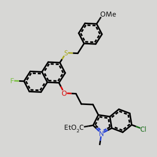 CCOC(=O)c1c(CCCOc2cc(SCc3ccc(OC)cc3)cc3cc(F)ccc23)c2ccc(Cl)cc2n1C